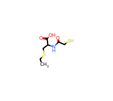 CCSCC(NC(=O)CS)C(=O)O